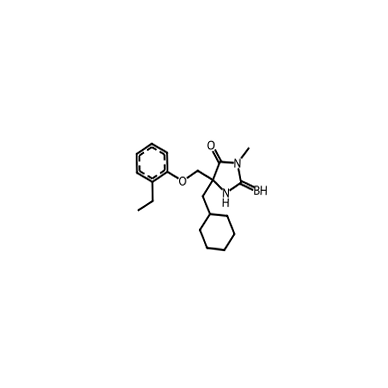 B=C1NC(COc2ccccc2CC)(CC2CCCCC2)C(=O)N1C